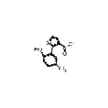 Nc1ccc(O)c(-c2sccc2[N+](=O)[O-])c1